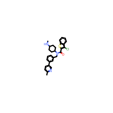 CNC1CCC(N(Cc2cccc(-c3ccc(C)nc3)c2)C(=O)c2sc3ccccc3c2Cl)CC1